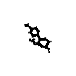 CC.CC(C)(C)c1ccc(-c2ccc(F)cc2)cc1